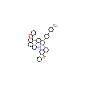 CC(C)(C)c1ccc(-c2ccc(-c3ccc(N(c4ccc5c(c4)-c4ccccc4C5(C)C)c4ccc5ccccc5c4-c4ccccc4-c4cccc5oc6ccccc6c45)c(-c4ccccc4)c3)cc2)cc1